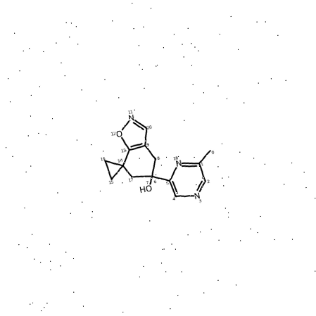 Cc1cncc(C2(O)Cc3cnoc3C3(CC3)C2)n1